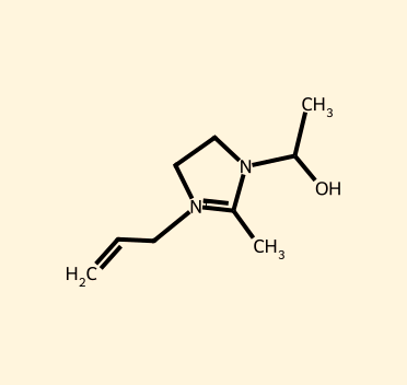 C=CC[N+]1=C(C)N(C(C)O)CC1